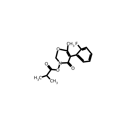 CC1=C(c2ccccc2F)C(=O)N(OC(=O)C(C)C)CO1